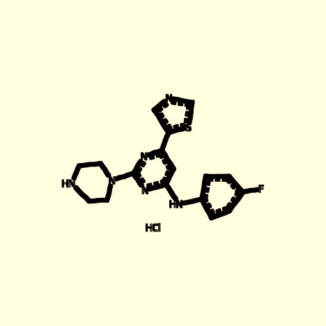 Cl.Fc1ccc(Nc2cc(-c3cncs3)nc(N3CCNCC3)n2)cc1